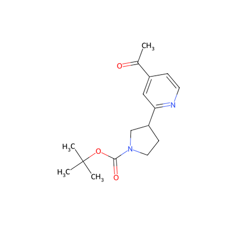 CC(=O)c1ccnc(C2CCN(C(=O)OC(C)(C)C)C2)c1